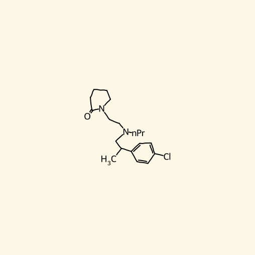 CCCN(CCN1CCCCC1=O)CC(C)c1ccc(Cl)cc1